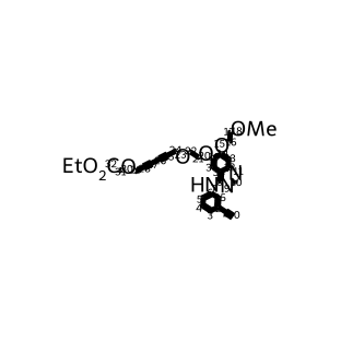 C#Cc1cccc(Nc2ncnc3cc(OCCOC)c(OCCOCC#CC#CCOCC(=O)OCC)cc23)c1